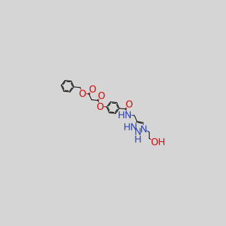 O=C(CC(=O)Oc1ccc(C(=O)NCC2=CN(CCO)NN2)cc1)OCc1ccccc1